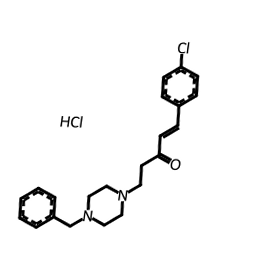 Cl.O=C(C=Cc1ccc(Cl)cc1)CCN1CCN(Cc2ccccc2)CC1